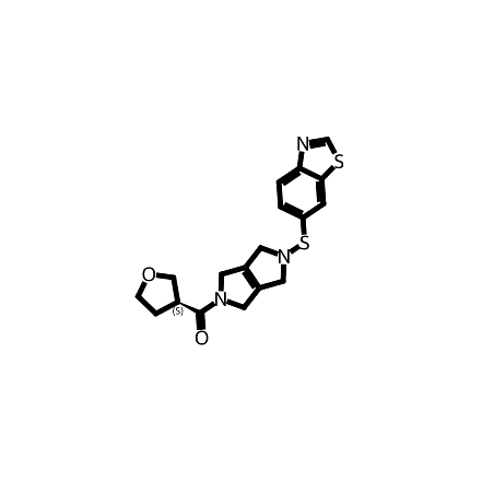 O=C([C@H]1CCOC1)N1CC2=C(CN(Sc3ccc4ncsc4c3)C2)C1